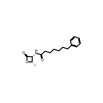 C[C@@H]1OC(=O)[C@@H]1NC(=O)CCCCCCc1ccccc1